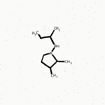 CCC(C)BN1CCC(C)C1C